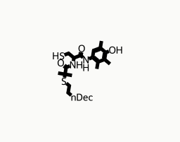 CCCCCCCCCCCCSC(C)(C)C(=O)NC(CS)C(=O)Nc1cc(C)c(O)c(C)c1C